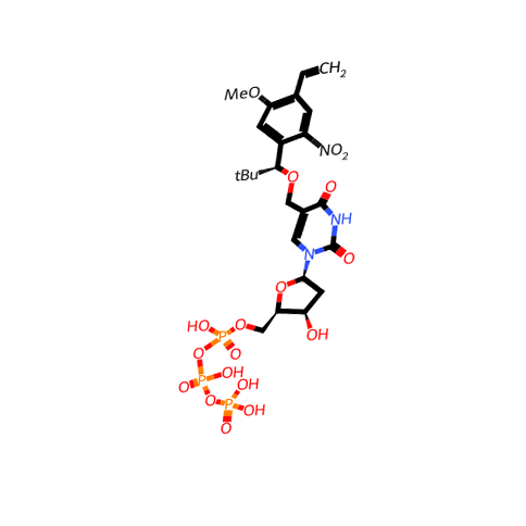 C=Cc1cc([N+](=O)[O-])c([C@@H](OCc2cn([C@H]3C[C@@H](O)[C@@H](COP(=O)(O)OP(=O)(O)OP(=O)(O)O)O3)c(=O)[nH]c2=O)C(C)(C)C)cc1OC